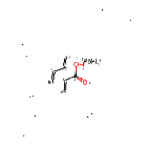 C=CC(=O)O.C=CC=C.[PbH2]